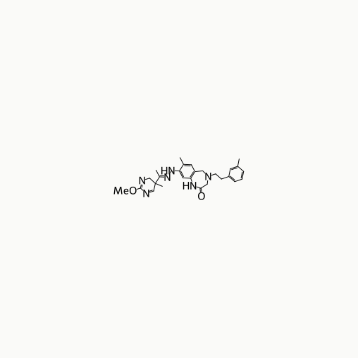 COC1=NCC(C)(/C(C)=N/Nc2cc3c(cc2C)CN(CCc2cccc(C)c2)CC(=O)N3)C=N1